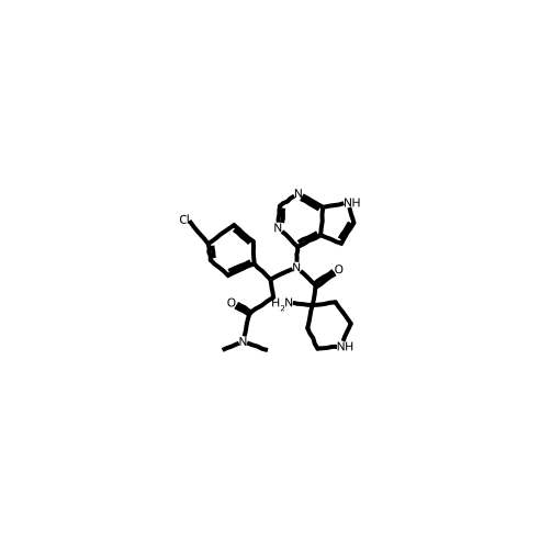 CN(C)C(=O)CC(c1ccc(Cl)cc1)N(C(=O)C1(N)CCNCC1)c1ncnc2[nH]ccc12